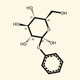 OC[C@H]1O[C@@](O)(Oc2ccccc2)[C@H](O)[C@@H](O)[C@@H]1O